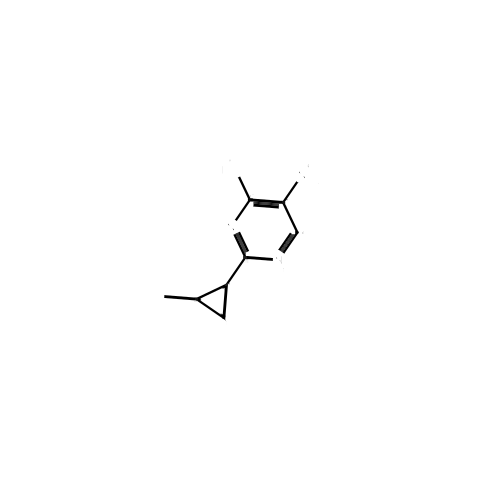 CC1CC1c1ncc(N)c(O)n1